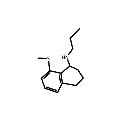 CCCNC1CCCc2cccc(SC)c21